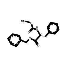 CC(C)(C)OC(=O)N[C@H](Cc1ccccc1)C(=O)OCc1ccccc1